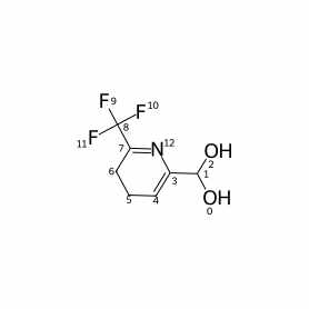 OC(O)C1=CCCC(C(F)(F)F)=N1